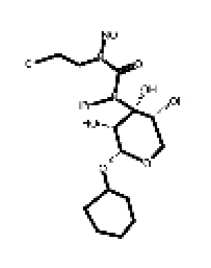 CC(C)N(C(=O)N(CCCl)N=O)[C@@]1(O)[C@H](O)CO[C@H](OC2CCCCC2)[C@@H]1O